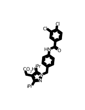 CC(C)c1nn(Cc2ccc(NC(=O)c3ccc(Cl)c(Cl)c3)cc2)c(C(C)C)c1CC(=O)O